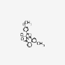 COc1ccc([C@H]2O[C@@H](c3ccc(C)cc3)N3C2C(=O)OC[C@@H]3c2ccccc2)cc1